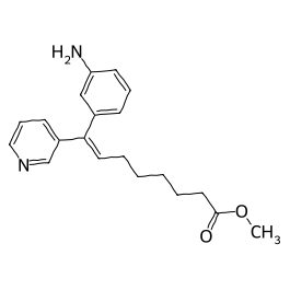 COC(=O)CCCCCC=C(c1cccnc1)c1cccc(N)c1